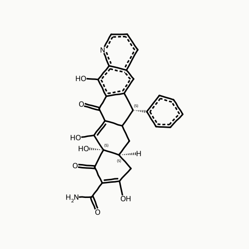 NC(=O)C1=C(O)C[C@@H]2CC3C(=C(O)[C@]2(O)C1=O)C(=O)c1c(cc2cccnc2c1O)[C@@H]3c1ccccc1